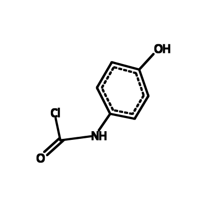 O=C(Cl)Nc1ccc(O)cc1